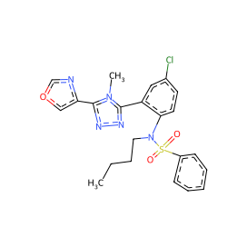 CCCCN(c1ccc(Cl)cc1-c1nnc(-c2cocn2)n1C)S(=O)(=O)c1ccccc1